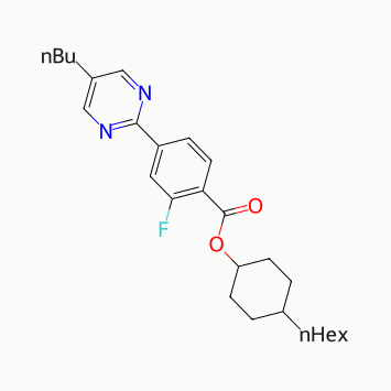 CCCCCCC1CCC(OC(=O)c2ccc(-c3ncc(CCCC)cn3)cc2F)CC1